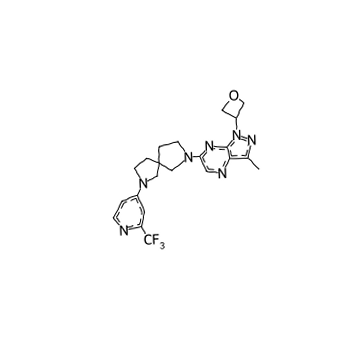 Cc1nn(C2COC2)c2nc(N3CCC4(CCN(c5ccnc(C(F)(F)F)c5)C4)C3)cnc12